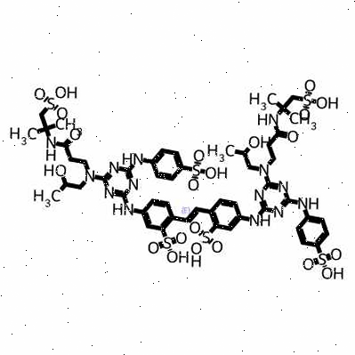 CC(O)CN(CCC(=O)NC(C)(C)CS(=O)(=O)O)c1nc(Nc2ccc(S(=O)(=O)O)cc2)nc(Nc2ccc(/C=C/c3ccc(Nc4nc(Nc5ccc(S(=O)(=O)O)cc5)nc(N(CCC(=O)NC(C)(C)CS(=O)(=O)O)CC(C)O)n4)cc3S(=O)(=O)O)c(S(=O)(=O)O)c2)n1